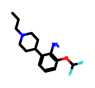 CCCN1CCC(c2cccc(OC(F)F)c2N)CC1